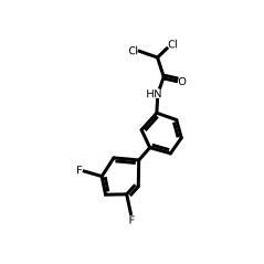 O=C(Nc1cccc(-c2cc(F)cc(F)c2)c1)C(Cl)Cl